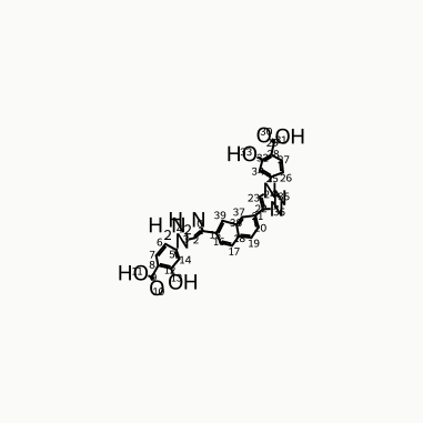 N/C(=C\N(N)c1ccc(C(=O)O)c(O)c1)c1ccc2ccc(-c3cn(-c4ccc(C(=O)O)c(O)c4)nn3)cc2c1